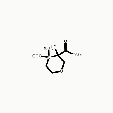 COC(=O)C1(C)COCC[N+]1(C(=O)[O-])C(C)(C)C